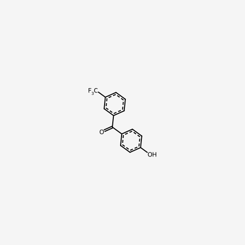 O=C(c1ccc(O)cc1)c1cccc(C(F)(F)F)c1